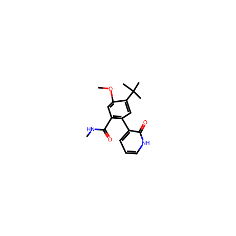 CNC(=O)c1cc(OC)c(C(C)(C)C)cc1-c1ccc[nH]c1=O